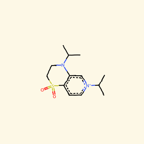 CC(C)N1CCS(=O)(=O)c2cc[n+](C(C)C)cc21